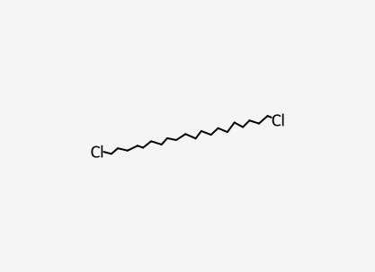 ClCCCCCCCCCCCCCCCCCCCCCl